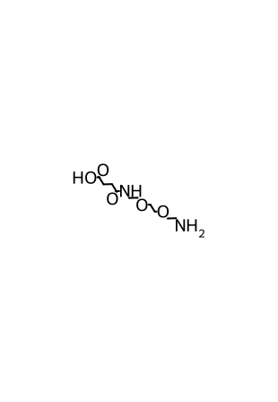 NCCOCCOCCNC(=O)CCC(=O)O